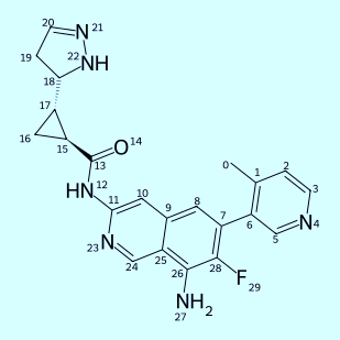 Cc1ccncc1-c1cc2cc(NC(=O)[C@H]3C[C@@H]3C3CC=NN3)ncc2c(N)c1F